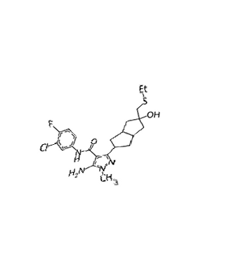 CCSCC1(O)CC2CC(c3nn(C)c(N)c3C(=O)Nc3ccc(F)c(Cl)c3)CC2C1